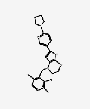 Fc1ccc(Cl)c(CN2CCNc3[nH]c(-c4ccc(N5CCCC5)nc4)cc32)c1Cl